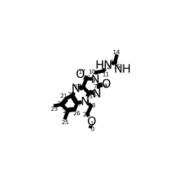 COCCn1c2nc(=O)n(CCNC(C)=N)c(=O)c-2nc2cc(C)c(C)cc21